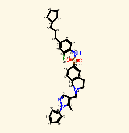 Cc1c(CN2CCc3cc(S(=O)(=O)Nc4ccc(CCCC5CCCC5)cc4F)ccc3C2)cnn1-c1ccccc1